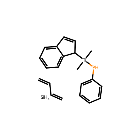 C=CC=C.[CH3][Ti]([CH3])([PH]c1ccccc1)[CH]1C=Cc2ccccc21.[SiH4]